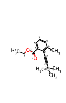 CCOC(=O)c1cccc(C)c1C#C[Si](C)(C)C